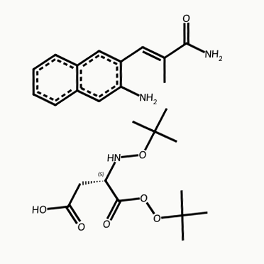 CC(=Cc1cc2ccccc2cc1N)C(N)=O.CC(C)(C)ON[C@@H](CC(=O)O)C(=O)OOC(C)(C)C